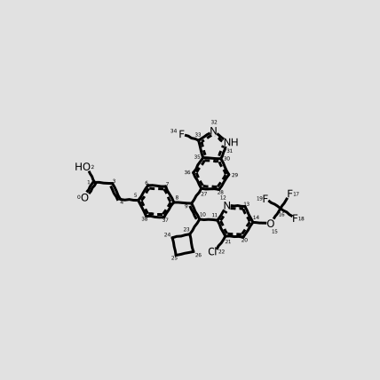 O=C(O)C=Cc1ccc(C(=C(c2ncc(OC(F)(F)F)cc2Cl)C2CCC2)c2ccc3[nH]nc(F)c3c2)cc1